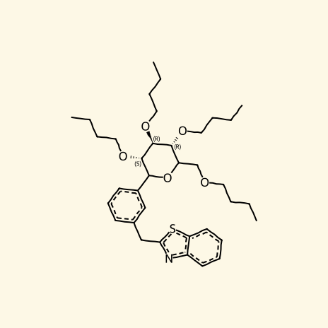 CCCCOCC1OC(c2cccc(Cc3nc4ccccc4s3)c2)[C@H](OCCCC)[C@@H](OCCCC)[C@@H]1OCCCC